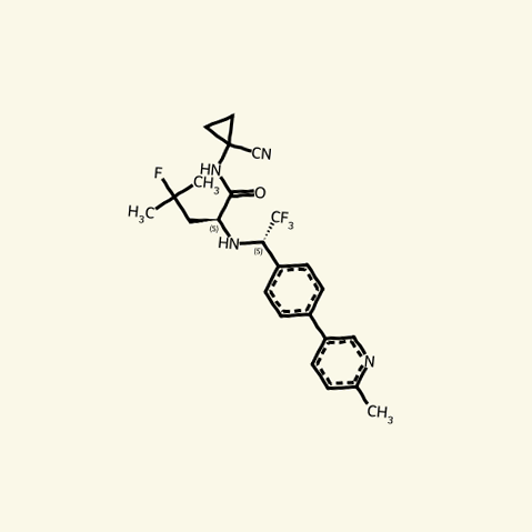 Cc1ccc(-c2ccc([C@H](N[C@@H](CC(C)(C)F)C(=O)NC3(C#N)CC3)C(F)(F)F)cc2)cn1